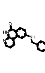 O=c1[nH]c2ncccc2c2cc(NCc3ccccc3)ccc12